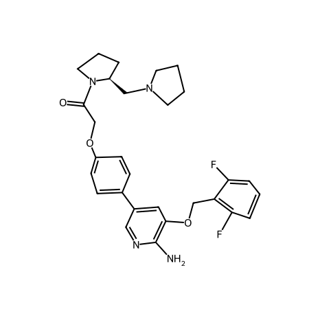 Nc1ncc(-c2ccc(OCC(=O)N3CCC[C@H]3CN3CCCC3)cc2)cc1OCc1c(F)cccc1F